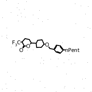 CCCCCc1ccc(COC2CCC(C3CCC(C(F)(F)F)C(=O)O3)CC2)cc1